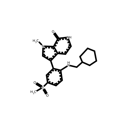 Cn1cc(-c2cc(S(C)(=O)=O)ccc2NCC2CCCCC2)c2cc[nH]c(=O)c21